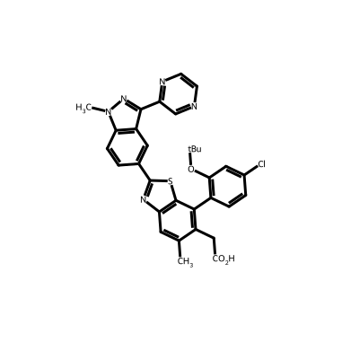 Cc1cc2nc(-c3ccc4c(c3)c(-c3cnccn3)nn4C)sc2c(-c2ccc(Cl)cc2OC(C)(C)C)c1CC(=O)O